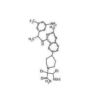 CCCCCCCCC(CC)C(CC)(C(N)=O)N1CCC(c2ccc3nc(C)nc(NC(C)c4cc(N)cc(C(F)(F)F)c4)c3c2)CC1